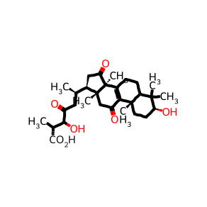 CC(C(=O)O)C(O)C(=O)C[C@@H](C)[C@H]1CC(=O)[C@@]2(C)C3=C(C(=O)C[C@]12C)[C@@]1(C)CC[C@H](O)C(C)(C)C1CC3